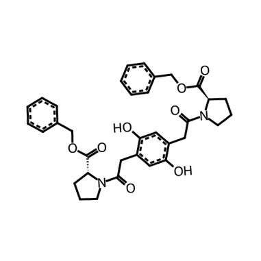 O=C(OCc1ccccc1)[C@H]1CCCN1C(=O)Cc1cc(O)c(CC(=O)N2CCC[C@@H]2C(=O)OCc2ccccc2)cc1O